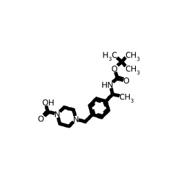 CC(NC(=O)OC(C)(C)C)c1ccc(CN2CCN(C(=O)O)CC2)cc1